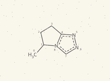 CC1CCc2nncn21